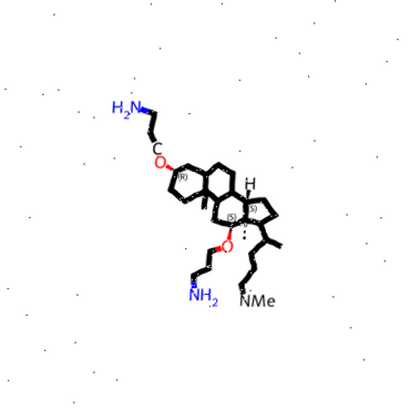 CNCCCC(C)C1CC[C@H]2C3CCC4C[C@H](OCCCN)CCC4(C)C3C[C@H](OCCCN)[C@]12C